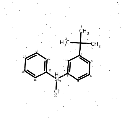 CC(C)(C)c1cccc([SiH](Cl)c2ccccc2)c1